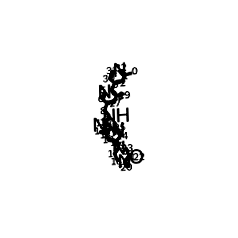 Cc1cc(-c2ncc(CNc3ncc4cc(N5CCN(C)C(=O)C5)cnn34)cc2C)ccn1